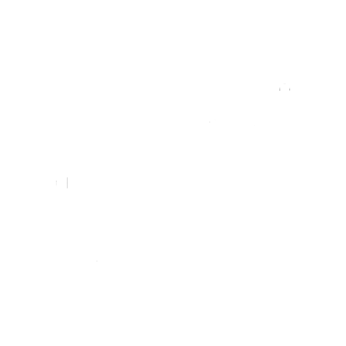 O=C1C=Cc2cc(Cl)c(Cl)cc2C1=O